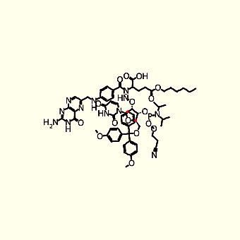 CCCCCCOC(=O)CCC(C(=O)O)N(NO[C@@H]1[C@H](OP(OOCCC#N)N(C(C)C)C(C)C)[C@@H](COC(c2ccccc2)(c2ccc(OC)cc2)c2ccc(OC)cc2)O[C@H]1n1ccc(=O)[nH]c1=O)C(=O)c1ccc(NCc2cnc3nc(N)[nH]c(=O)c3n2)cc1